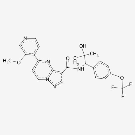 COc1cnccc1-c1ccn2ncc(C(=O)N[C@@H](c3ccc(OC(F)(F)F)cc3)C(C)(C)O)c2n1